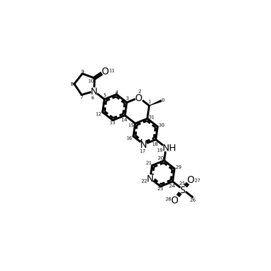 C[C@@H]1Oc2cc(N3CCCC3=O)ccc2-c2cnc(Nc3cncc(S(C)(=O)=O)c3)cc21